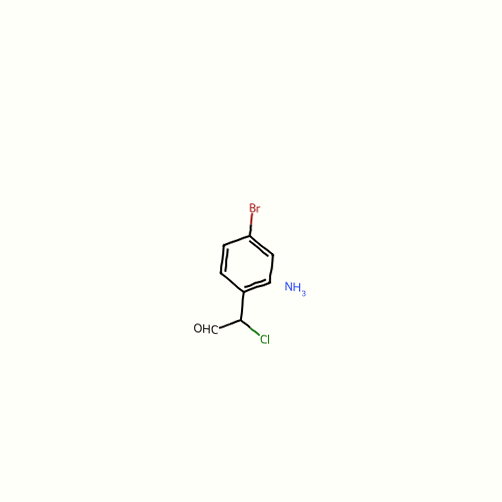 N.O=CC(Cl)c1ccc(Br)cc1